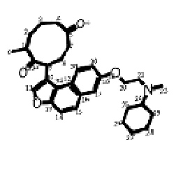 CC1CCCC(=O)CCC(c2coc3ccc4cc(OCCN(C)C5CCCCC5)ccc4c23)C1=O